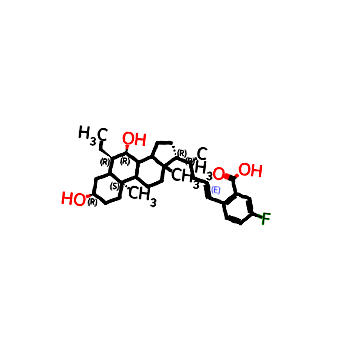 CC[C@@H]1C2C[C@H](O)CC[C@]2(C)C2CCC3(C)C(CC[C@@H]3[C@H](C)C/C=C/c3ccc(F)cc3C(=O)O)C2[C@@H]1O